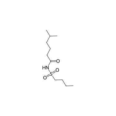 CCCCS(=O)(=O)NC(=O)CCCC(C)C